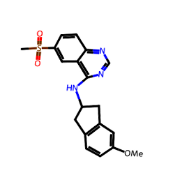 COc1ccc2c(c1)CC(Nc1ncnc3ccc(S(C)(=O)=O)cc13)C2